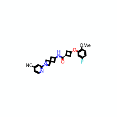 COc1ccc(F)cc1O[C@H]1C[C@H](C(=O)NC2CC3(C2)CN(c2cc(C#N)ccn2)C3)C1